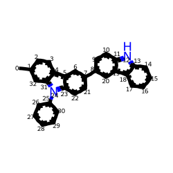 Cc1ccc2c3cc(-c4ccc5[nH]c6ccccc6c5c4)ccc3n(-c3ccccc3)c2c1